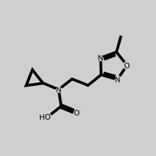 Cc1nc(CCN(C(=O)O)C2CC2)no1